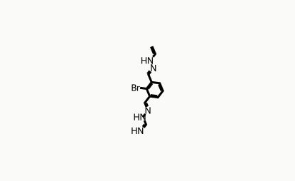 C=CN/N=C/c1cccc(/C=N/NC=N)c1Br